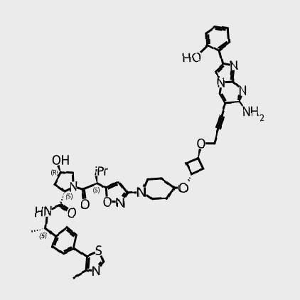 Cc1ncsc1-c1ccc([C@H](C)NC(=O)[C@@H]2C[C@@H](O)CN2C(=O)[C@H](c2cc(N3CCC(O[C@H]4C[C@H](OCC#Cc5cn6cc(-c7ccccc7O)nc6nc5N)C4)CC3)no2)C(C)C)cc1